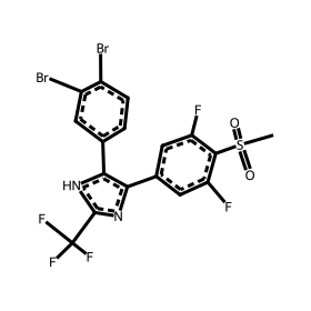 CS(=O)(=O)c1c(F)cc(-c2nc(C(F)(F)F)[nH]c2-c2ccc(Br)c(Br)c2)cc1F